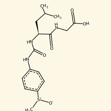 CC(C)C[C@H](NC(=O)Nc1ccc([S+](C)[O-])cc1)C(=O)NCC(=O)O